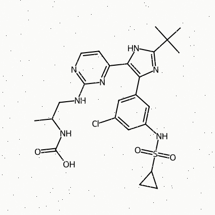 CC(CNc1nccc(-c2[nH]c(C(C)(C)C)nc2-c2cc(Cl)cc(NS(=O)(=O)C3CC3)c2)n1)NC(=O)O